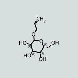 C=CCOC1O[C@H](CO)[C@@H](O)[C@@H](O)[C@H]1O